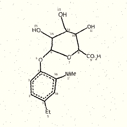 CCc1ccc(OC2OC(C(=O)O)C(O)C(O)C2O)c(NC)c1